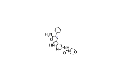 NC(=O)/C(=C\c1c[nH]c2ncc(NC(=O)N3CCOCC3)cc12)c1ccccc1